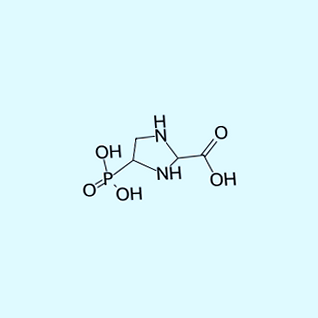 O=C(O)C1NCC(P(=O)(O)O)N1